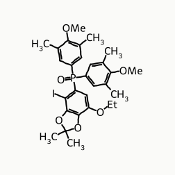 CCOc1cc(P(=O)(c2cc(C)c(OC)c(C)c2)c2cc(C)c(OC)c(C)c2)c(I)c2c1OC(C)(C)O2